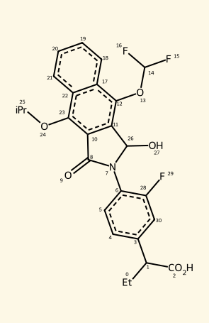 CCC(C(=O)O)c1ccc(N2C(=O)c3c(c(OC(F)F)c4ccccc4c3OC(C)C)C2O)c(F)c1